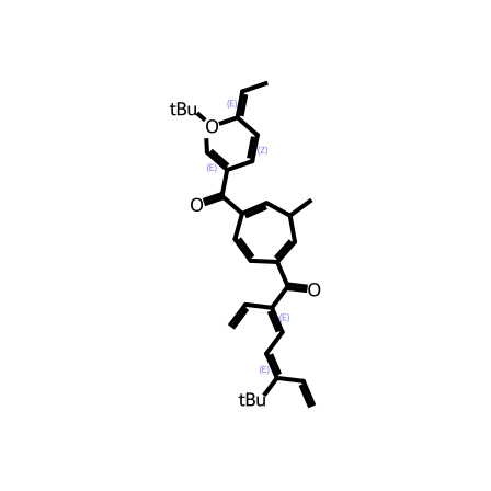 C=C/C(=C\C=C(/C=C)C(C)(C)C)C(=O)C1=CC(C)C=C(C(=O)C(/C=C\C(=C/C)OC(C)(C)C)=C/C)C=C1